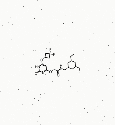 CCC1CC(CC)CC(CNC(=O)COc2cc(OC3CC(F)(F)C3)[nH]c(=O)n2)C1